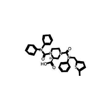 Cc1ccc(CN(C(=O)N2CCN(C(=O)N(c3ccccc3)c3ccccc3)[C@H](C(=O)O)C2)c2ccccc2)s1